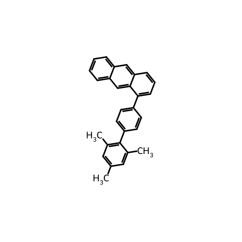 Cc1cc(C)c(-c2ccc(-c3cccc4cc5ccccc5cc34)cc2)c(C)c1